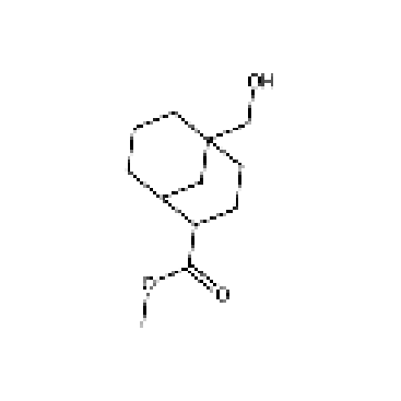 COC(=O)C1CCC2(CO)CCCC1C2